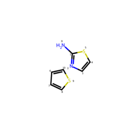 Nc1nccs1.c1ccsc1